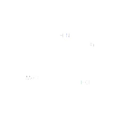 CC[C@@H](N)c1cccc(OC)c1.Cl